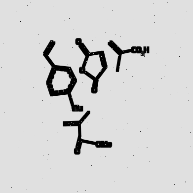 C=C(C)C(=O)O.C=C(C)C(=O)OC.C=Cc1ccc(C(C)(C)C)cc1.O=C1C=CC(=O)O1